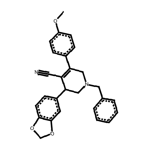 COc1ccc(C2=C(C#N)C(c3ccc4c(c3)OCO4)CN(Cc3ccccc3)C2)cc1